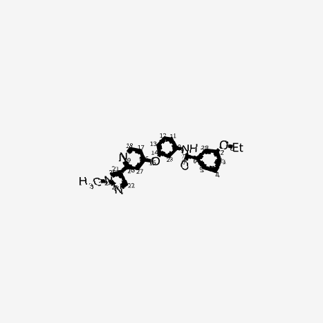 CCOc1cccc(C(=O)Nc2cccc(Oc3ccnc(-c4cnn(C)c4)c3)c2)c1